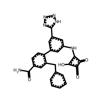 NC(=O)c1ccc(-c2cc(Nc3c(O)c(=O)c3=O)cc(-c3nnn[nH]3)c2)c(Cc2ccccc2)c1